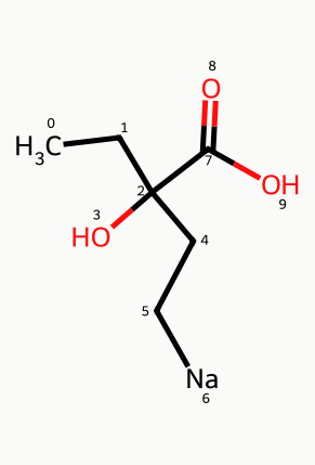 CCC(O)(C[CH2][Na])C(=O)O